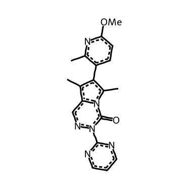 COc1ccc(-c2c(C)c3cnn(-c4ncccn4)c(=O)n3c2C)c(C)n1